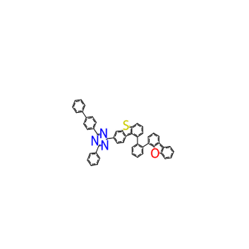 c1ccc(-c2ccc(-c3nc(-c4ccccc4)nc(-c4ccc5c(c4)sc4cccc(-c6ccccc6-c6cccc7c6oc6ccccc67)c45)n3)cc2)cc1